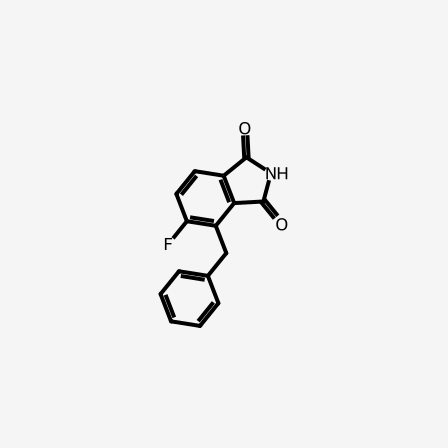 O=C1NC(=O)c2c1ccc(F)c2Cc1ccccc1